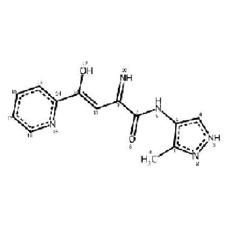 Cc1n[nH]cc1NC(=O)C(=N)/C=C(\O)c1ccccn1